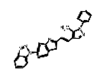 Cc1c(/C=C/C2=Nc3cc(-n4nnc5ccccc54)ccc3C2)cnn1-c1ccccc1